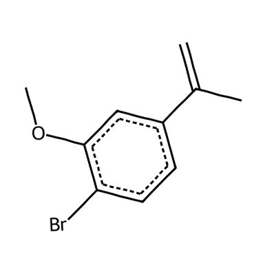 C=C(C)c1ccc(Br)c(OC)c1